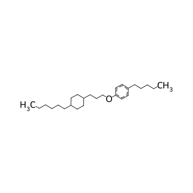 CCCCCCC1CCC(CCCOc2ccc(CCCCC)cc2)CC1